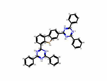 c1ccc(-c2nc(-c3ccccc3)nc(-c3ccc4c(c3)sc3c(-c5nc(-c6ccccc6)nc(-c6ccccc6)n5)cccc34)n2)cc1